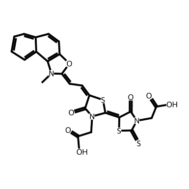 CN1/C(=C/C=c2s/c(=C3/SC(=S)N(CC(=O)O)C3=O)n(CC(=O)O)c2=O)Oc2ccc3ccccc3c21